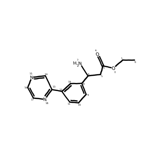 CCOC(=O)CC(N)c1cccc(-c2cnccn2)c1